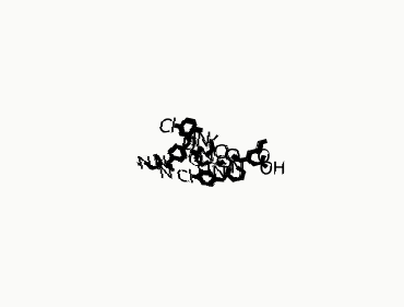 CC=CCC(CC(=O)O)C(=O)N1CCC[C@](Cc2ccc(Cl)cc2)(NC(=O)[C@@H]2COC(C)(C)N2C(=O)[C@H](C)NCc2ccc(Cl)cc2Oc2ccc(-c3cnc(CN(C)C)n3C)cc2)C1